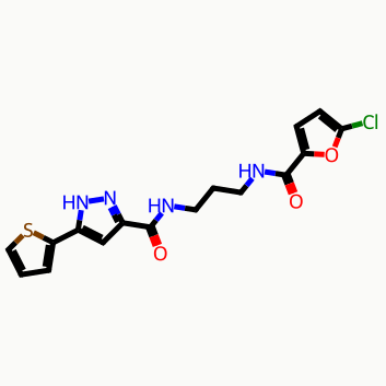 O=C(NCCCNC(=O)c1ccc(Cl)o1)c1cc(-c2cccs2)[nH]n1